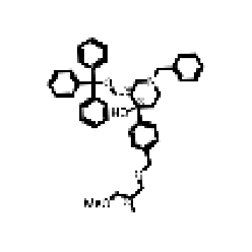 COC[C@H](C)COCc1ccc([C@@]2(O)CCN(Cc3ccccc3)C[C@H]2COC(c2ccccc2)(c2ccccc2)c2ccccc2)cc1